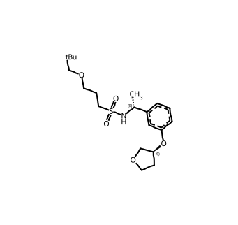 C[C@@H](NS(=O)(=O)CCCOCC(C)(C)C)c1cccc(O[C@H]2CCOC2)c1